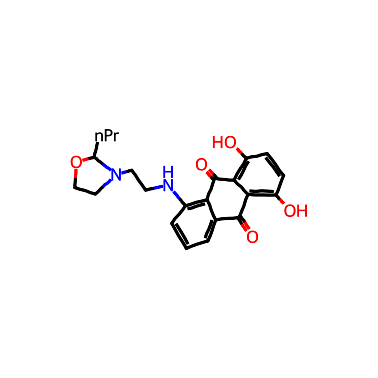 CCCC1OCCN1CCNc1cccc2c1C(=O)c1c(O)ccc(O)c1C2=O